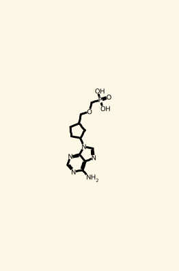 Nc1ncnc2c1ncn2C1CCC(COCP(=O)(O)O)C1